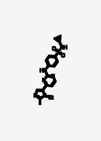 CCn1c(-c2ccnc(Nc3ccc(S(=O)(=O)NC4CC4)cc3)n2)cnc1C